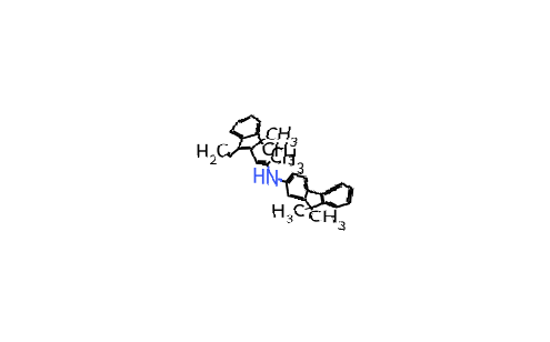 C=CC1=C(/C=C(\C)Nc2ccc3c(c2)C(C)(C)c2ccccc2-3)C(C)(C)c2ccccc21